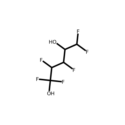 OC(C(F)F)C(F)C(F)C(O)(F)F